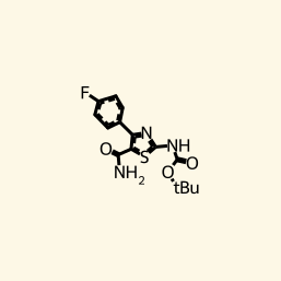 CC(C)(C)OC(=O)Nc1nc(-c2ccc(F)cc2)c(C(N)=O)s1